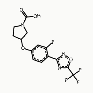 O=C(O)N1CCC(Oc2ccc(-c3noc(C(F)(F)F)n3)c(F)c2)C1